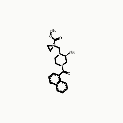 CCCCOC(=O)[N+]1(CN2CCN(C(=O)c3cccc4ccccc34)C[C@@H]2CCCC)CC1